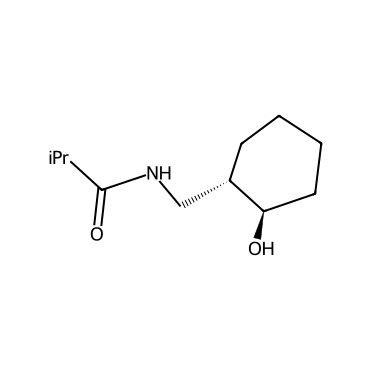 CC(C)C(=O)NC[C@@H]1CCCC[C@H]1O